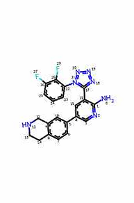 Nc1ncc(-c2ccc3c(c2)CNCC3)cc1-c1nnnn1-c1cccc(F)c1F